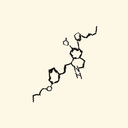 CCCCOc1cccc(/C=C/C2NCCc3cc(OCCCC)c(OC)cc32)c1